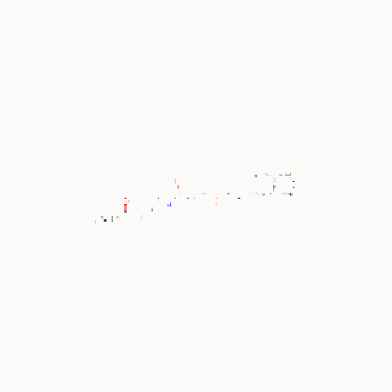 COC(=O)OC1CN(C(=O)CCOCCc2ccc3sccc3c2)C1